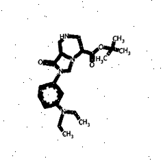 CCN(CC)c1cccc(N2CN3C(C(=O)OC(C)(C)C)CNCC3C2=O)c1